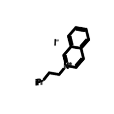 CC(C)CC[n+]1ccc2ccccc2c1.[I-]